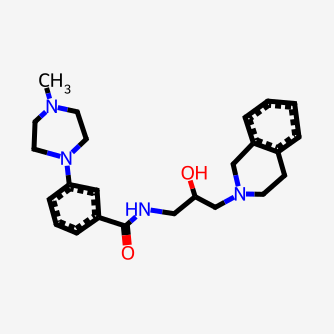 CN1CCN(c2cccc(C(=O)NCC(O)CN3CCc4ccccc4C3)c2)CC1